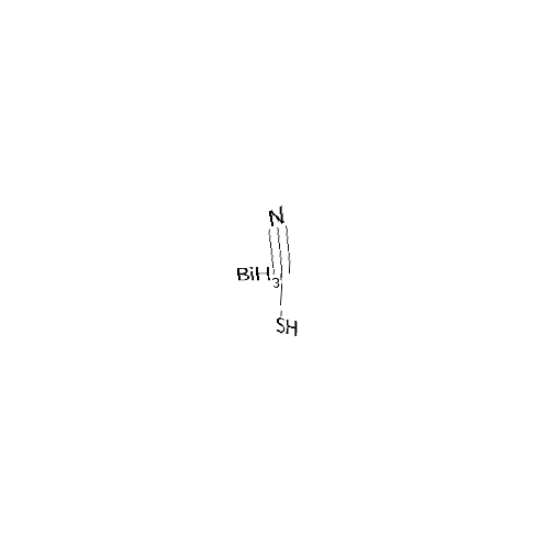 N#CS.[BiH3]